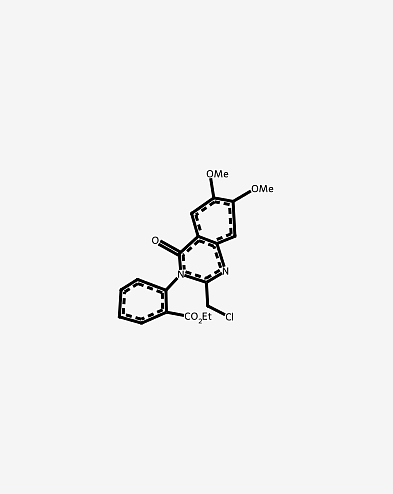 CCOC(=O)c1ccccc1-n1c(CCl)nc2cc(OC)c(OC)cc2c1=O